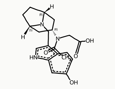 CC(=O)N(CC(=O)O)[C@H]1C[C@H]2CC[C@@H](C1)N2Cc1c[nH]c2cc(O)ccc12